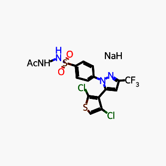 CC(=O)NNS(=O)(=O)c1ccc(-n2nc(C(F)(F)F)cc2-c2c(Cl)csc2Cl)cc1.[NaH]